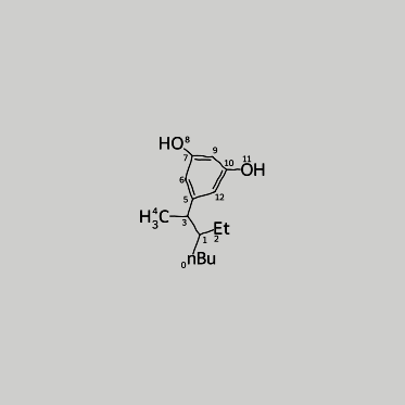 CCCCC(CC)C(C)c1cc(O)cc(O)c1